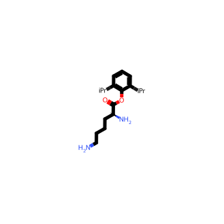 CC(C)c1cccc(C(C)C)c1OC(=O)[C@@H](N)CCCCN